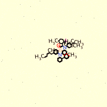 C/C=C\C=C(\C)Cc1ccc2c(c1)N(c1ccccc1-c1ccccc1)c1cc(C)cc3c1B2C1=C(C2C(O1)C(C)CCC2(C)I)N3C1=CCC(C(C)(C)C)C=C1